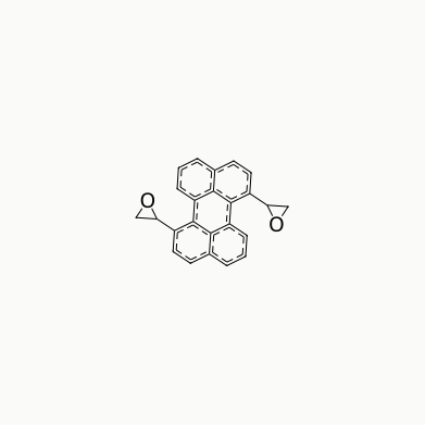 c1cc2ccc(C3CO3)c3c4cccc5ccc(C6CO6)c(c(c1)c23)c54